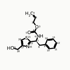 C=CCOC(=O)N[C@@H](Cc1ccccc1)c1nc(CO)cs1